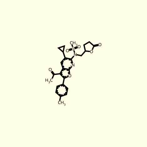 CC(=O)c1c(-c2ccc(C)cc2)oc2nc(N(CC3CCC(=O)O3)S(C)(=O)=O)c(C3CC3)cc12